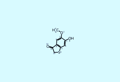 COc1cc2c(cc1O)SCC2=O